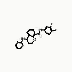 O=C(Nc1ccc(F)c(F)c1)c1cccc2c1OCCC2Nc1ncccn1